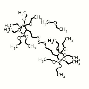 CCO[SiH3].CCO[Si](OCC)(OCC)C(CCSSSSCCC([Si](OCC)(OCC)OCC)[Si](OCC)(OCC)OCC)[Si](OCC)(OCC)OCC